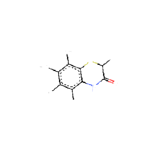 Cc1c(C)c(C)c2c(c1C)NC(=O)C(C)S2